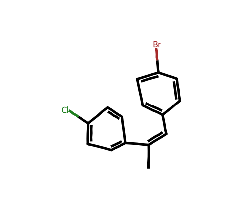 CC(=Cc1ccc(Br)cc1)c1ccc(Cl)cc1